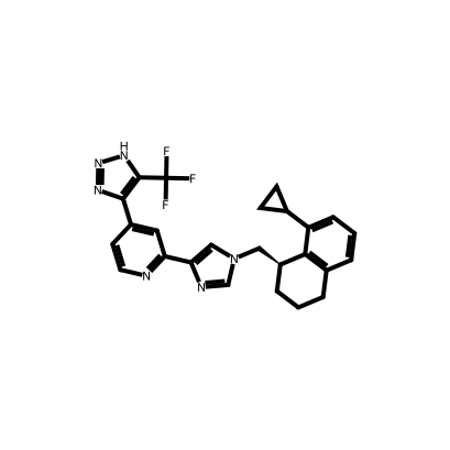 FC(F)(F)c1[nH]nnc1-c1ccnc(-c2cn(C[C@@H]3CCCc4cccc(C5CC5)c43)cn2)c1